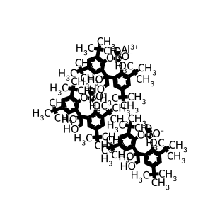 CC(C)(C)c1cc(C(C)(C)C)c2c(c1)C(O)(CO)c1cc(C(C)(C)C)cc(C(C)(C)C)c1OP(=O)([O-])O2.CC(C)(C)c1cc(C(C)(C)C)c2c(c1)C(O)(CO)c1cc(C(C)(C)C)cc(C(C)(C)C)c1OP(=O)([O-])O2.CC(C)(C)c1cc(C(C)(C)C)c2c(c1)C(O)(CO)c1cc(C(C)(C)C)cc(C(C)(C)C)c1OP(=O)([O-])O2.[Al+3]